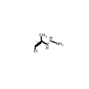 CC/C=C(/C)NNN